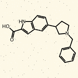 O=C(O)c1cc2cc(C3CCN(Cc4ccccc4)C3)ccc2[nH]1